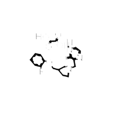 O=C(O)C(=O)O.O=c1[nH]ccnc1CN1CCC(COc2ccccc2F)C1